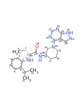 CC[C@@H](Nc1ccccc1C(C)C)C(=O)N[C@@H]1CCCN(c2ncnc3[nH]ncc23)C1